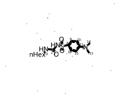 CCCCCCNC(=O)NS(=O)(=O)c1ccc(N(C)C)cc1